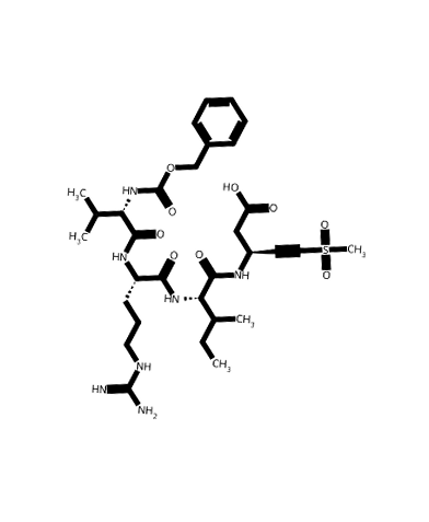 CCC(C)[C@H](NC(=O)[C@H](CCCNC(=N)N)NC(=O)[C@@H](NC(=O)OCc1ccccc1)C(C)C)C(=O)N[C@H](C#CS(C)(=O)=O)CC(=O)O